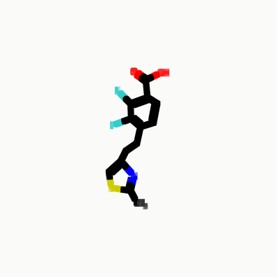 Cc1nc(CCc2ccc(C(=O)O)c(F)c2F)cs1